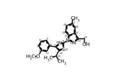 COc1cccc(-c2nc(-n3nc(CO)c4cc(C)ccc43)sc2C(C)C)c1